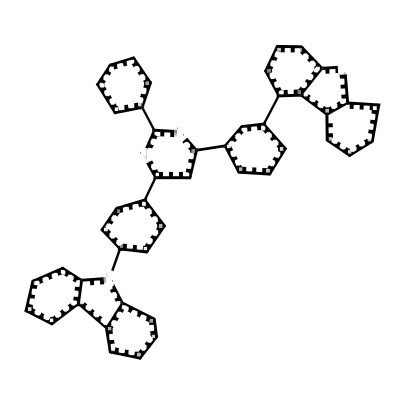 c1ccc(-c2nc(-c3ccc(-n4c5ccccc5c5ccccc54)cc3)cc(-c3cccc(-c4cccc5oc6ccccc6c45)c3)n2)cc1